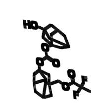 CC(F)(F)C(=O)OCC12CC3CC(C1)CC(OC(=O)OC14CC5CC(CC(O)(C5)C1)C4)(C3)C2